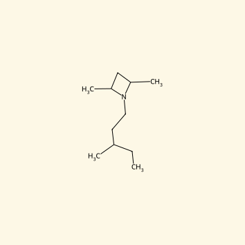 CCC(C)CCN1C(C)CC1C